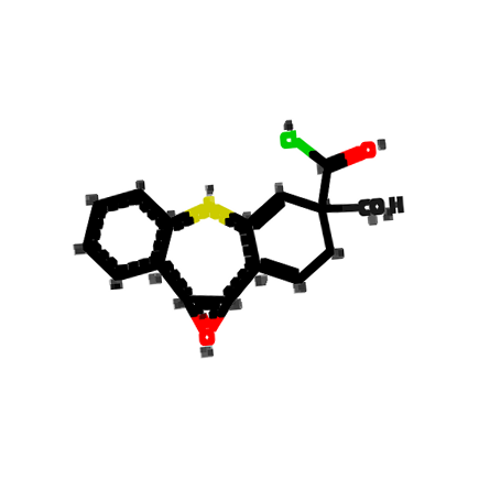 O=C(O)C1(C(=O)Cl)C=c2sc3ccccc3c3oc=3c2=CC1